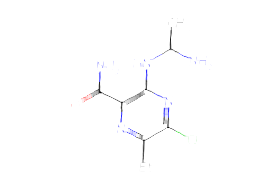 CCc1nc(C(N)=O)c(NC(C)N)nc1Cl